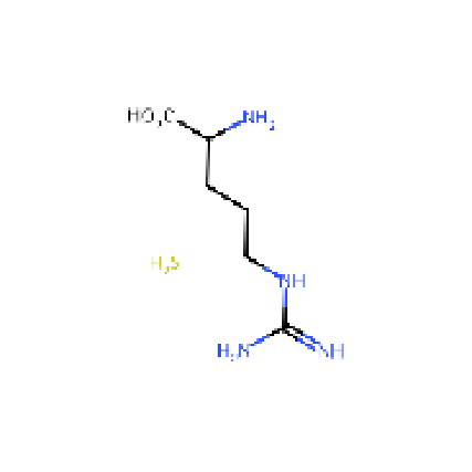 N=C(N)NCCCC(N)C(=O)O.S